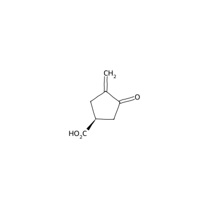 C=C1C[C@H](C(=O)O)CC1=O